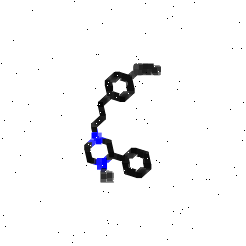 CCN1CCN(CCCc2ccc(OC)cc2)CC1c1ccccc1